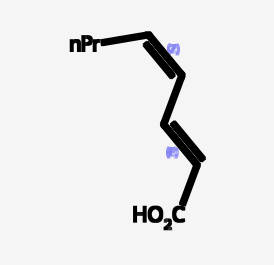 CCC/C=C\C=C\C(=O)O